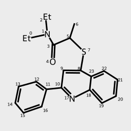 CCN(CC)C(=O)C(C)Sc1cc(-c2ccccc2)nc2ccccc12